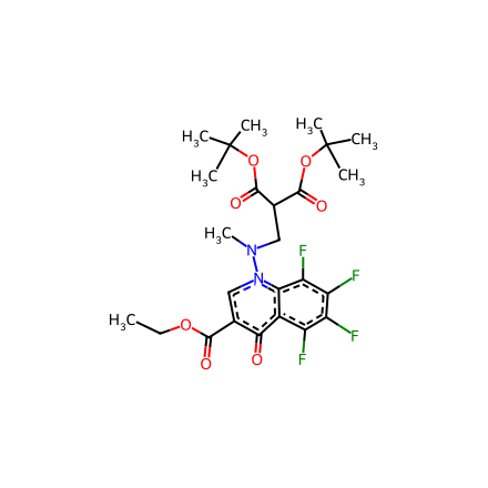 CCOC(=O)c1cn(N(C)CC(C(=O)OC(C)(C)C)C(=O)OC(C)(C)C)c2c(F)c(F)c(F)c(F)c2c1=O